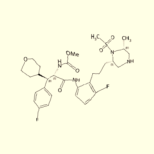 COC(=O)N[C@H](C(=O)Nc1cccc(F)c1CCC[C@H]1CNC[C@@H](C)N1S(C)(=O)=O)[C@@H](c1ccc(F)cc1)C1CCOCC1